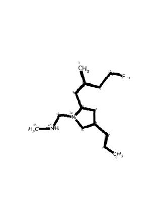 CCCC1CC(CC(C)CCF)N(CNC)C1